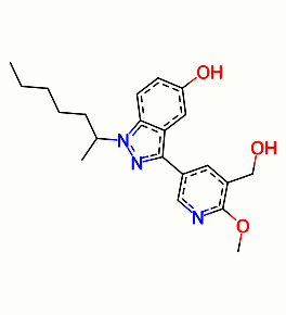 CCCCCC(C)n1nc(-c2cnc(OC)c(CO)c2)c2cc(O)ccc21